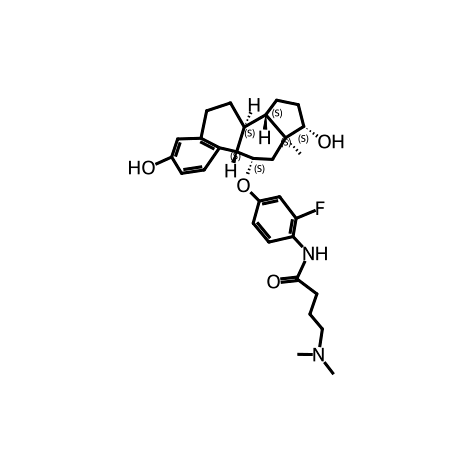 CN(C)CCCC(=O)Nc1ccc(O[C@H]2C[C@]3(C)[C@@H](O)CC[C@H]3[C@@H]3CCc4cc(O)ccc4[C@H]32)cc1F